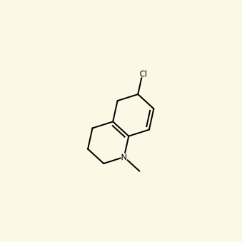 CN1CCCC2=C1C=CC(Cl)C2